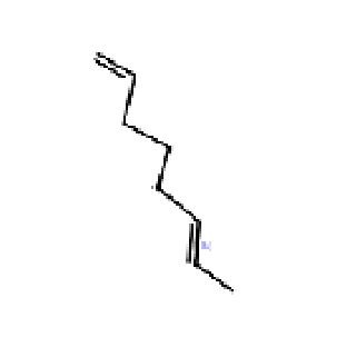 C=CCC[CH]/C=C/C